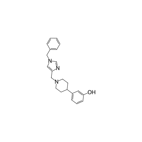 Oc1cccc(C2CCN(Cc3cn(Cc4ccccc4)cn3)CC2)c1